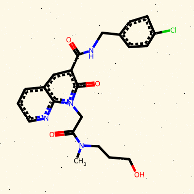 CN(CCCO)C(=O)Cn1c(=O)c(C(=O)NCc2ccc(Cl)cc2)cc2cccnc21